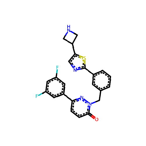 O=c1ccc(-c2cc(F)cc(F)c2)nn1Cc1cccc(-c2ncc(C3CNC3)s2)c1